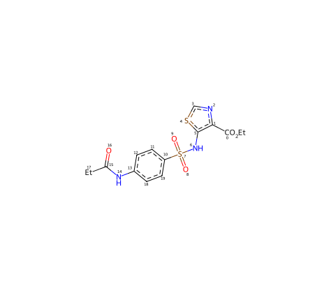 CCOC(=O)c1ncsc1NS(=O)(=O)c1ccc(NC(=O)CC)cc1